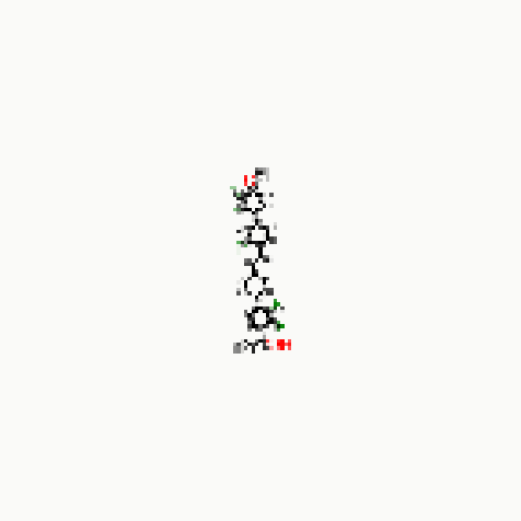 CCCC(O)c1ccc(C2CCC(CCc3ccc(-c4ccc(OCC)c(F)c4F)cc3F)CC2)c(F)c1F